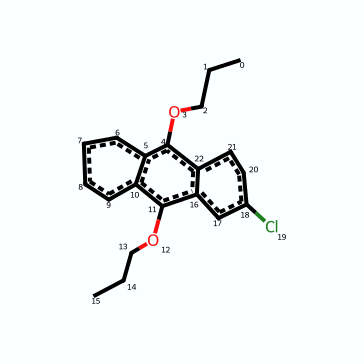 CCCOc1c2ccccc2c(OCCC)c2cc(Cl)ccc12